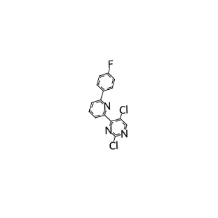 Fc1ccc(-c2cccc(-c3nc(Cl)ncc3Cl)n2)cc1